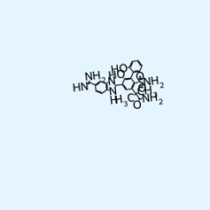 CC(C)(C(N)=O)c1cc(-c2nc3cc(C(=N)N)ccc3[nH]2)c(O)c(-c2ccccc2O)c1S(N)(=O)=O